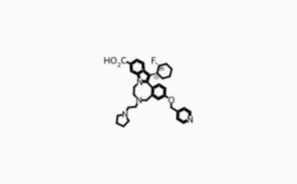 O=C(O)c1ccc2c([C@@H]3CCCC[C@H]3F)c3n(c2c1)CCN(CCN1CCCC1)Cc1cc(OCc2ccncc2)ccc1-3